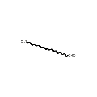 O=[C]CCCCCCC=CCC=CCC=CCCCCC[N+](=O)[O-]